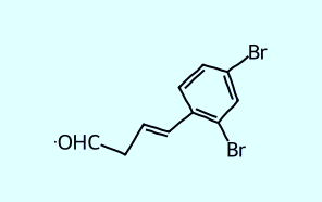 O=[C]CC=Cc1ccc(Br)cc1Br